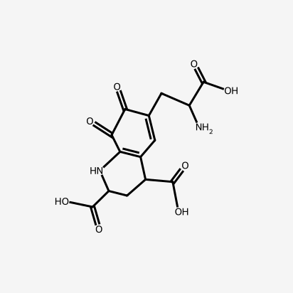 NC(CC1=CC2=C(NC(C(=O)O)CC2C(=O)O)C(=O)C1=O)C(=O)O